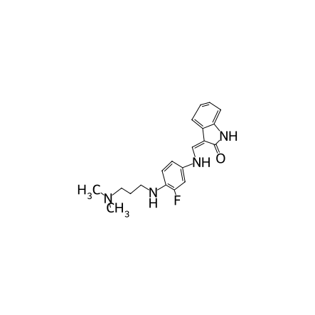 CN(C)CCCNc1ccc(NC=C2C(=O)Nc3ccccc32)cc1F